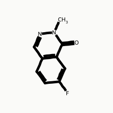 Cn1ncc2ccc(F)cc2c1=O